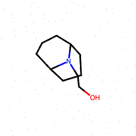 OCCN1C2CCCC1CCC2